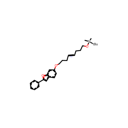 CC(C)(C)[Si](C)(C)OCCC/C=C/CCCOc1ccc2cc(-c3ccccc3)oc2c1